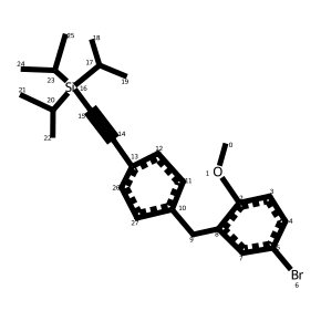 COc1ccc(Br)cc1Cc1ccc(C#C[Si](C(C)C)(C(C)C)C(C)C)cc1